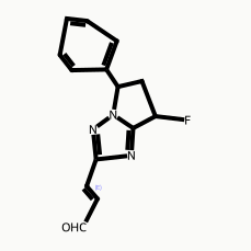 O=C/C=C/c1nc2n(n1)C(c1ccccc1)CC2F